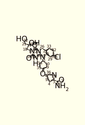 NC(=O)c1ccc(OC2=CCC(/N=c3\[nH]c(=O)n(C[C@H](O)CO)c(=O)n3Cc3ccc(Cl)cc3)C=C2)cn1